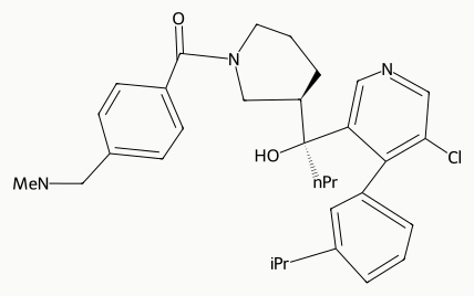 [CH2]CC[C@@](O)(c1cncc(Cl)c1-c1cccc(C(C)C)c1)[C@@H]1CCCN(C(=O)c2ccc(CNC)cc2)C1